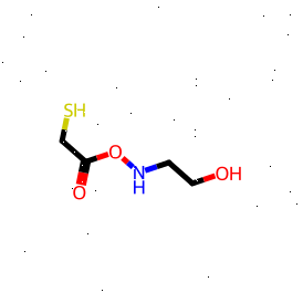 O=C(CS)ONCCO